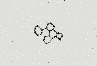 C1=Cc2c(c3nccn3c3cccc(-c4ccccc4)c23)CC1